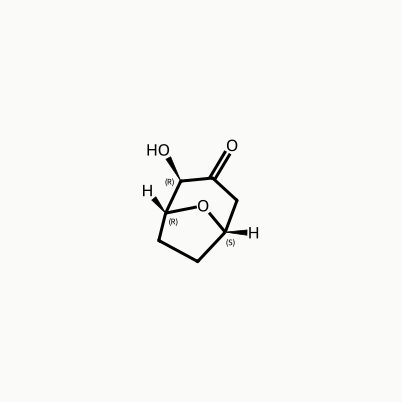 O=C1C[C@@H]2CC[C@@H](O2)[C@H]1O